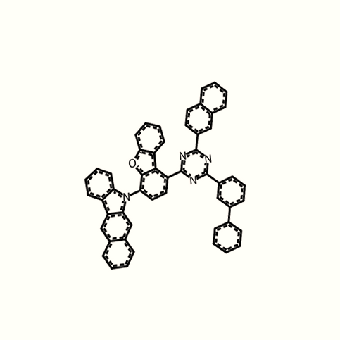 c1ccc(-c2cccc(-c3nc(-c4ccc5ccccc5c4)nc(-c4ccc(-n5c6ccccc6c6cc7ccccc7cc65)c5oc6ccccc6c45)n3)c2)cc1